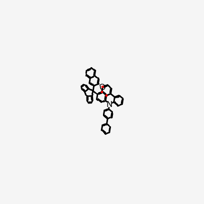 c1ccc(-c2ccc(N(c3ccc4c(c3)Oc3cc5ccccc5cc3C43c4ccccc4-c4ccccc43)c3ccccc3-c3ccccc3)cc2)cc1